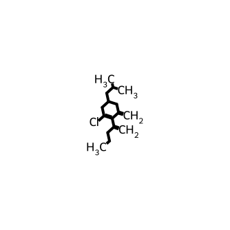 C=C(CCC)C1=C(Cl)CC(CC(C)C)CC1=C